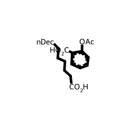 CC(=O)Oc1ccccc1C(=O)O.CCCCCCCCCCCCCCCC(=O)O